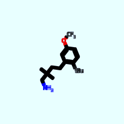 CC(C)(CN)CCc1cc(OC(F)(F)F)ccc1C(C)(C)C